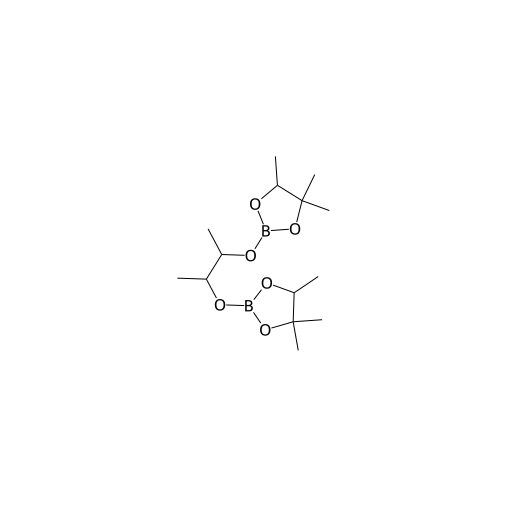 CC(OB1OC(C)C(C)(C)O1)C(C)OB1OC(C)C(C)(C)O1